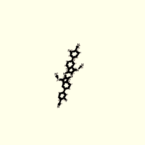 N#C/N=c1/c2cc(-c3ccc(C#N)c(F)c3)ccc2c2nc3/c(=N/C#N)c4cc(-c5ccc(C#N)c(F)c5)ccc4c3nc12